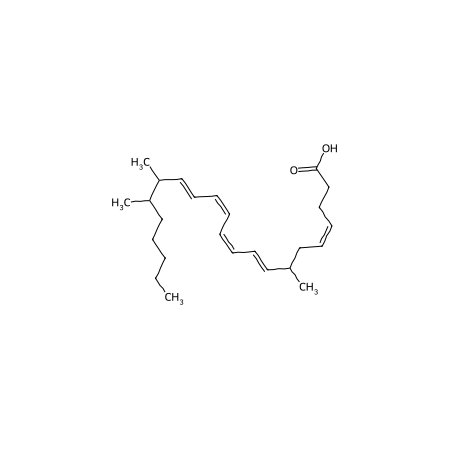 CCCCCC(C)C(C)/C=C/C=C\C=C/C=C/C(C)C/C=C\CCC(=O)O